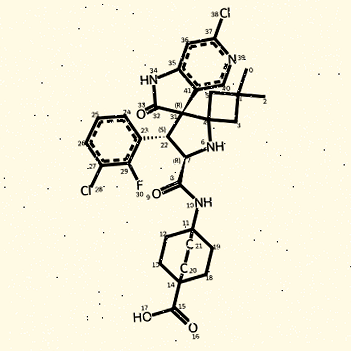 CC1(C)CC2(C1)N[C@@H](C(=O)NC13CCC(C(=O)O)(CC1)CC3)[C@H](c1cccc(Cl)c1F)[C@]21C(=O)Nc2cc(Cl)ncc21